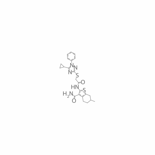 CC1CCc2c(sc(NC(=O)CSc3nc(C4CC4)n(-c4ccccc4)n3)c2C(N)=O)C1